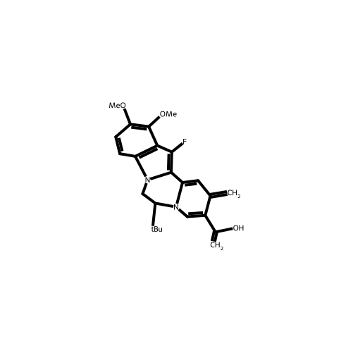 C=C(O)C1=CN2C(=CC1=C)c1c(F)c3c(OC)c(OC)ccc3n1CC2C(C)(C)C